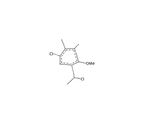 COc1c(C(C)Cl)cc(Cl)c(C)c1C